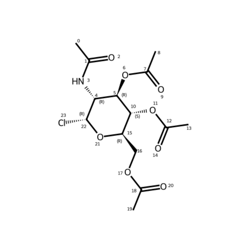 CC(=O)N[C@@H]1[C@@H](OC(C)=O)[C@H](OC(C)=O)[C@@H](COC(C)=O)O[C@@H]1Cl